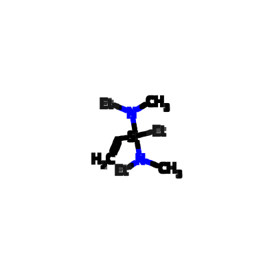 C=C[Si](CC)(N(C)CC)N(C)CC